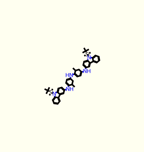 CC1CC(Nc2ccc3c(c2)c2ccccc2n3[Si](C)(C)C(C)(C)C)=CC=C1NC1=CC=C(Nc2ccc3c(c2)c2ccccc2n3[Si](C)(C)C(C)(C)C)C(C)C1